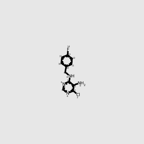 Nc1c(Cl)ncnc1NCc1ccc(F)cc1